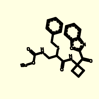 CC(C)(C)OC(=O)NCC(SCc1ccccc1)C(=O)NC1(C(=O)c2nc3ccccc3o2)CCC1